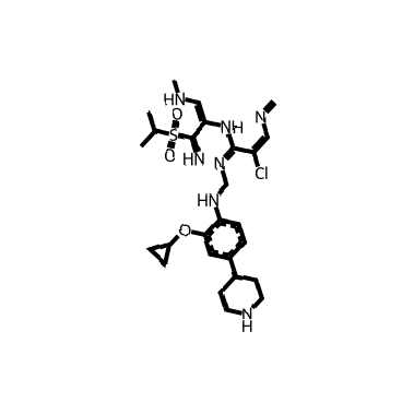 C=N/C=C(Cl)\C(=N/CNc1ccc(C2CCNCC2)cc1OC1CC1)N/C(=C/NC)C(=N)S(=O)(=O)C(C)C